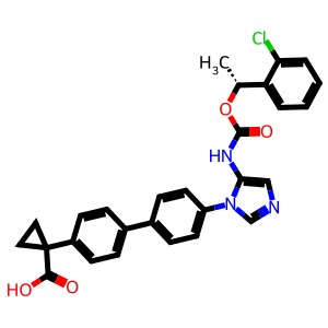 C[C@@H](OC(=O)Nc1cncn1-c1ccc(-c2ccc(C3(C(=O)O)CC3)cc2)cc1)c1ccccc1Cl